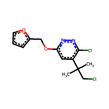 CC(C)(CCl)c1cc(OCc2ccco2)nnc1Cl